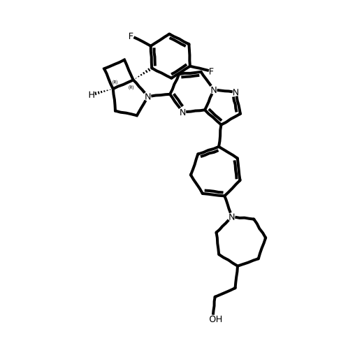 OCCC1CCCN(C2=CCC=C(c3cnn4ccc(N5CC[C@H]6CC[C@]65c5cc(F)ccc5F)nc34)C=C2)CC1